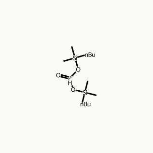 CCCC[Si](C)(C)O[PH](=O)O[Si](C)(C)CCCC